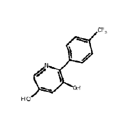 Oc1cnc(-c2ccc(C(F)(F)F)cc2)c(O)c1